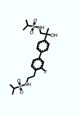 CC(C)S(=O)(=O)NCCc1ccc(-c2ccc(C(C)(O)CNS(=O)(=O)C(C)C)cc2)cc1F